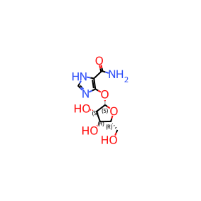 NC(=O)c1[nH]cnc1O[C@@H]1O[C@H](CO)[C@H](O)[C@@H]1O